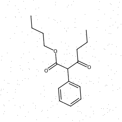 CCCCOC(=O)C(C(=O)CCC)c1ccccc1